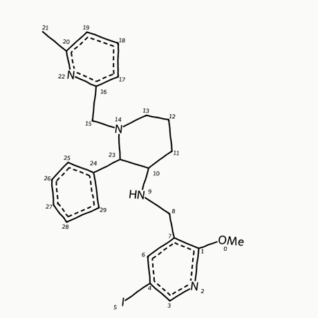 COc1ncc(I)cc1CNC1CCCN(Cc2cccc(C)n2)C1c1ccccc1